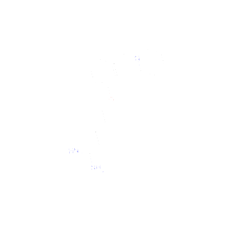 N=C(N)CCCCOc1cccc(CN2CCCCC2)c1